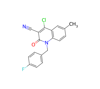 Cc1ccc2c(c1)c(Cl)c(C#N)c(=O)n2Cc1ccc(F)cc1